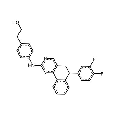 OCCc1ccc(Nc2ncc3c(n2)-c2ccccc2C(c2ccc(F)c(F)c2)C3)cc1